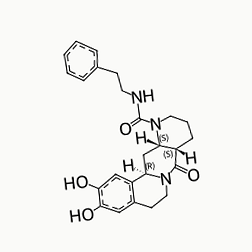 O=C1[C@H]2CCCN(C(=O)NCCc3ccccc3)[C@H]2C[C@@H]2c3cc(O)c(O)cc3CCN12